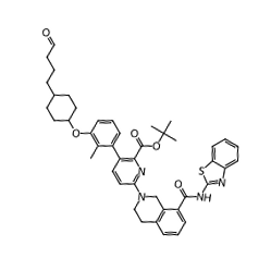 Cc1c(OC2CCC(CCCC=O)CC2)cccc1-c1ccc(N2CCc3cccc(C(=O)Nc4nc5ccccc5s4)c3C2)nc1C(=O)OC(C)(C)C